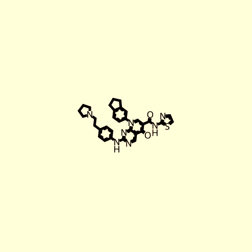 O=C(Nc1nccs1)c1cn(-c2ccc3c(c2)CCC3)c2nc(Nc3ccc(CCN4CCCC4)cc3)ncc2c1=O